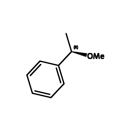 CO[C@H](C)c1ccccc1